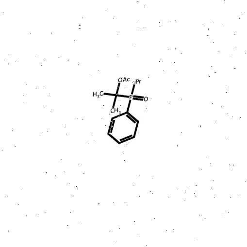 CC(=O)OC(C)(C)P(=O)(c1ccccc1)C(C)C